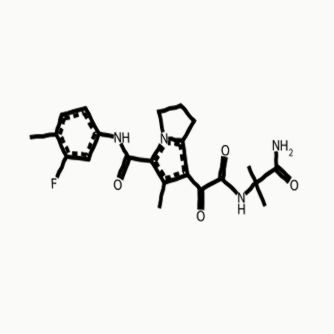 Cc1ccc(NC(=O)c2c(C)c(C(=O)C(=O)NC(C)(C)C(N)=O)c3n2CCC3)cc1F